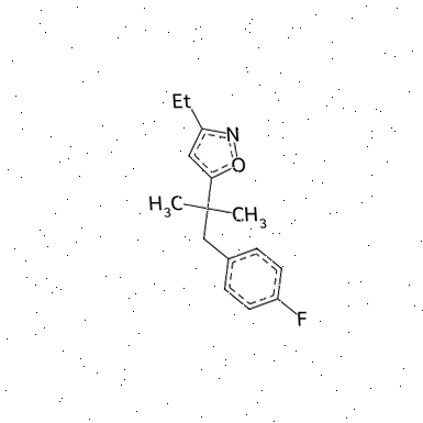 CCc1cc(C(C)(C)Cc2ccc(F)cc2)on1